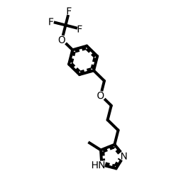 Cc1[nH]cnc1CCCOCc1ccc(OC(F)(F)F)cc1